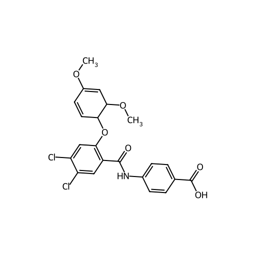 COC1=CC(OC)C(Oc2cc(Cl)c(Cl)cc2C(=O)Nc2ccc(C(=O)O)cc2)C=C1